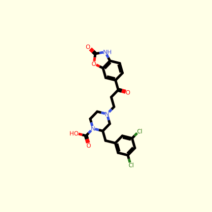 O=C(CCN1CCN(C(=O)O)C(Cc2cc(Cl)cc(Cl)c2)C1)c1ccc2[nH]c(=O)oc2c1